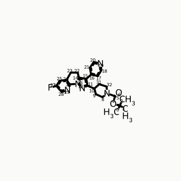 CC(C)(C)OC(=O)N1CCC(c2nn3c(c2-c2ccncc2)CCc2cc(F)cnc2-3)CC1